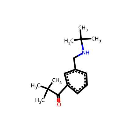 CC(C)(C)NCc1cccc(C(=O)C(C)(C)C)c1